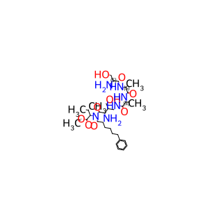 COC(=O)C(C(C)C)N(C(=O)CCCCCc1ccccc1)C(=O)C(N)C(CO)CNC(=O)[C@H](C)NC(=O)[C@H](C)NC(=O)[C@@H](N)CO